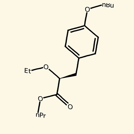 CCCCOc1ccc(C[C@H](OCC)C(=O)OCCC)cc1